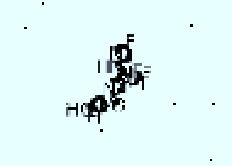 O=C(c1cc2c(cn1)c(Nc1ccc(F)cn1)nn2CC(F)(F)F)N1CCC(O)C(F)(F)C1